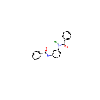 O=C(Nc1cccc(N(Br)C(=O)c2ccccc2)c1)c1ccccc1